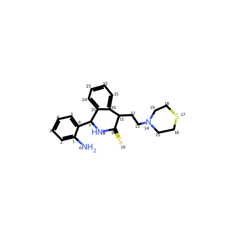 Nc1ccccc1C1NC(=S)C(CCN2CCSCC2)c2ccccc21